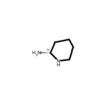 N[C@@H]1CCCCN1